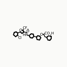 O=C(Nc1ccc(-c2cccc(OC(Cc3ccccc3)C(=O)O)c2)cc1)c1cc(-c2ccccc2Cl)oc1C(F)(F)F